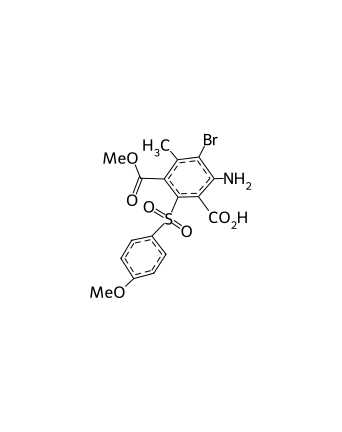 COC(=O)c1c(C)c(Br)c(N)c(C(=O)O)c1S(=O)(=O)c1ccc(OC)cc1